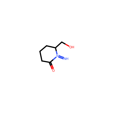 N=[N+]1C(=O)CCCC1CO